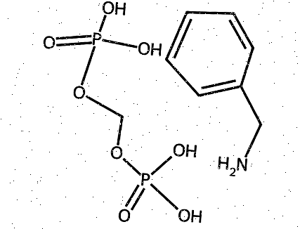 NCc1ccccc1.O=P(O)(O)OCOP(=O)(O)O